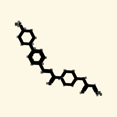 C=CC(=O)OC1CCN(C(=O)/C=C/c2ccc(C3CCC(C)CC3)cc2)CC1